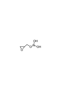 ON(O)OCC1CO1